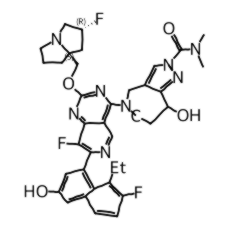 CCc1c(F)ccc2cc(O)cc(-c3ncc4c(N5CCC(O)c6nn(C(=O)N(C)C)cc6C5)nc(OC[C@@]56CCCN5C[C@H](F)C6)nc4c3F)c12